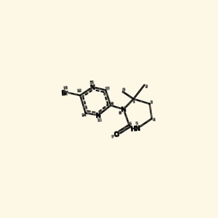 CC1(C)CCNC(=O)N1c1cnc(Br)cn1